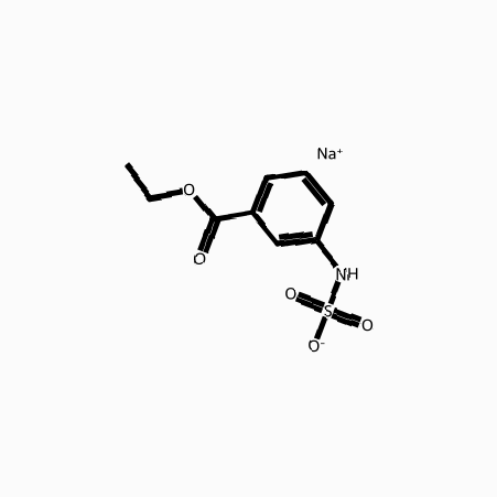 CCOC(=O)c1cccc(NS(=O)(=O)[O-])c1.[Na+]